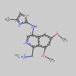 COc1cc(OC)c2c(CN)ncc(Nc3nc(C)cs3)c2c1.Cl